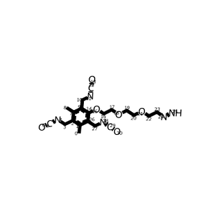 Cc1c(CN=C=O)c(C)c(CN=C=O)c(OCCOCCOCCN=N)c1CN=C=O